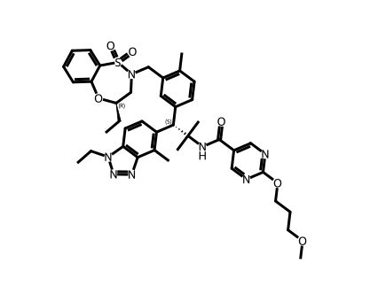 CC[C@@H]1CN(Cc2cc([C@@H](c3ccc4c(nnn4CC)c3C)C(C)(C)NC(=O)c3cnc(OCCCOC)nc3)ccc2C)S(=O)(=O)c2ccccc2O1